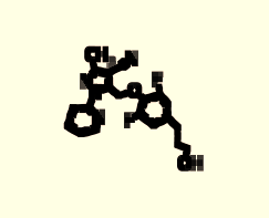 Cc1nn(-c2ccccn2)c(COc2c(F)cc(CCCO)cc2F)c1C#N